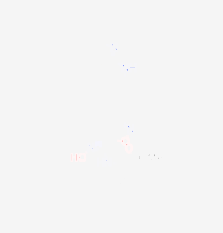 COC(=O)[C@@H](N/C(=N\O)c1cc(-c2ccc(Nc3nc4ccc(F)cc4s3)cc2)no1)c1ccccc1